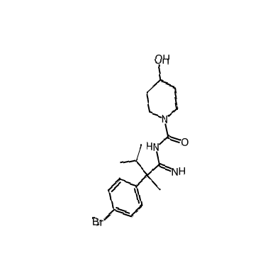 CC(C)C(C)(C(=N)NC(=O)N1CCC(O)CC1)c1ccc(Br)cc1